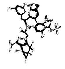 C[C@@H]1[C@@H]2c3c(C(F)F)nn(CC(=O)NC(Cc4cc(F)cc(F)c4)c4nc5[nH]ncc5cc4-c4ccc(Cl)c5c(NS(C)(=O)=O)nn(C)c45)c3C(F)(F)[C@H]12